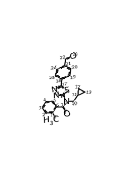 Cc1ccccc1C(=O)N(CC1CC1)c1nnc(-c2ccc(C=O)cc2)s1